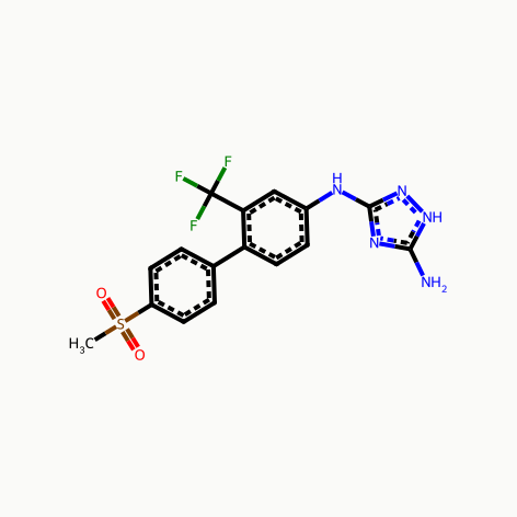 CS(=O)(=O)c1ccc(-c2ccc(Nc3n[nH]c(N)n3)cc2C(F)(F)F)cc1